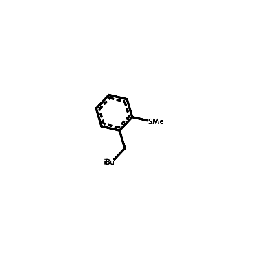 CCC(C)Cc1ccccc1SC